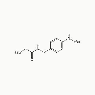 CC(C)(C)CC(=O)NCc1ccc(NC(C)(C)C)cc1